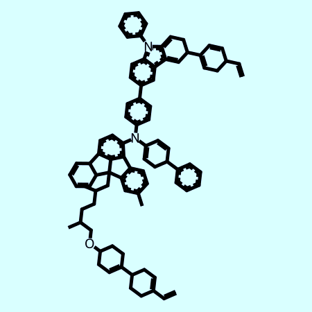 C=CC1=CCC(C2=CCC(OCC(C)CCC(C)CC34c5cc(C)ccc5-c5c(N(C6=CCC(c7ccccc7)C=C6)c6ccc(-c7ccc8c(c7)c7c(n8-c8ccccc8)=CCC(C8=CCC(C=C)C=C8)C=7)cc6)ccc(c53)C3C=CC=CC34)CC2)CC1